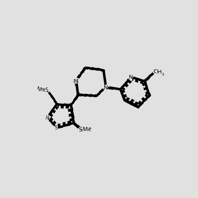 CSc1nsc(SC)c1C1CN(c2cccc(C)n2)CC[N]1